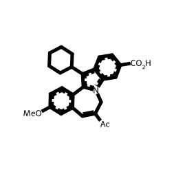 COc1ccc2c(c1)C=C(C(C)=O)Cn1c-2c(C2CCCCC2)c2ccc(C(=O)O)cc21